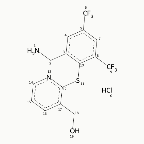 Cl.NCc1cc(C(F)(F)F)cc(C(F)(F)F)c1Sc1ncccc1CO